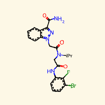 CC(C)N(CC(=O)Nc1cccc(Br)c1F)C(=O)Cn1nc(C(N)=O)c2ccccc21